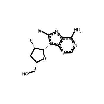 Nc1ncnc2c1nc(Br)n2[C@@H]1O[C@H](CO)C[C@@H]1F